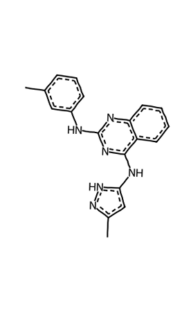 Cc1cccc(Nc2nc(Nc3cc(C)n[nH]3)c3ccccc3n2)c1